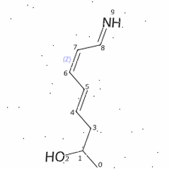 CC(O)CC=C/C=C\C=N